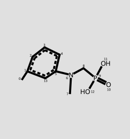 Cc1cccc(N(C)CP(=O)(O)O)c1